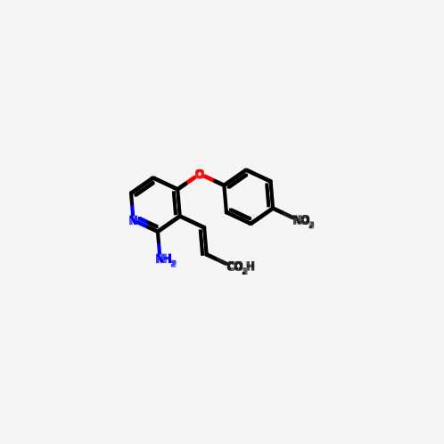 Nc1nccc(Oc2ccc([N+](=O)[O-])cc2)c1C=CC(=O)O